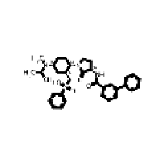 CC(C)N(C)[C@@H]1CC[C@H](N2CC[C@H](NC(=O)c3cccc(-c4ccccc4)c3)C2=O)[C@@H](CS(=O)(=O)c2ccccc2)C1